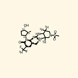 [2H]C(F)(F)c1cc2cnc(NC3C([2H])([2H])CN(S(C)(=O)=O)CC3([2H])[2H])nc2n([C@H]2CC[C@H](O)[C@H]2C)c1=O